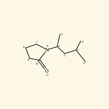 CC(C)CC(C)N1CCCC1=O